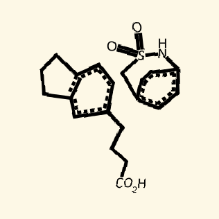 O=C(O)CCCc1ccc2c(c1)CCC2.O=S1(=O)Cc2ccc(cc2)N1